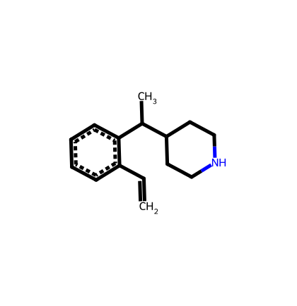 C=Cc1ccccc1C(C)C1CCNCC1